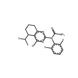 NC(=O)N(c1nc(Cl)c2c(n1)CCCC2C(F)F)c1c(F)cccc1F